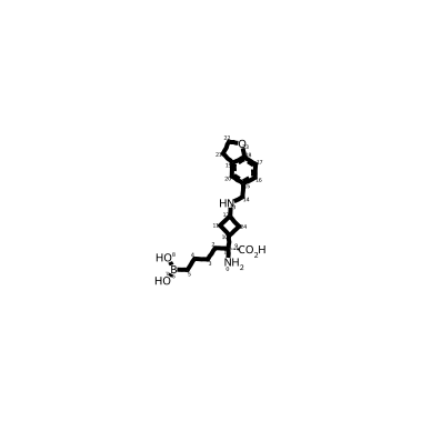 N[C@](CCCCB(O)O)(C(=O)O)C1CC(NCc2ccc3c(c2)CCO3)C1